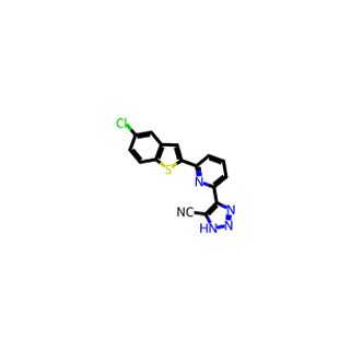 N#Cc1[nH]nnc1-c1cccc(-c2cc3cc(Cl)ccc3s2)n1